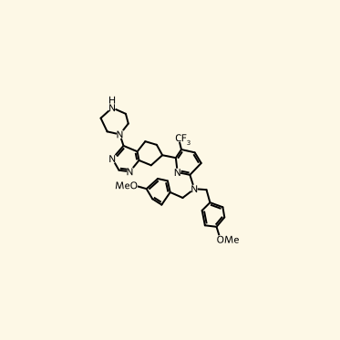 COc1ccc(CN(Cc2ccc(OC)cc2)c2ccc(C(F)(F)F)c(C3CCc4c(ncnc4N4CCNCC4)C3)n2)cc1